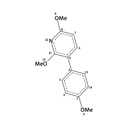 COc1ccc(-c2ccc(OC)nc2OC)cc1